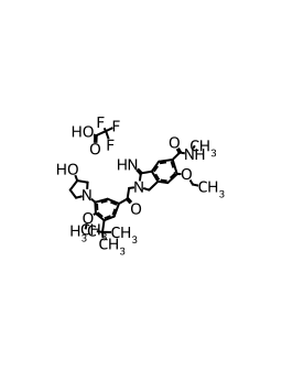 CCOc1cc2c(cc1C(=O)NC)C(=N)N(CC(=O)c1cc(N3CCC(O)C3)c(OC)c(C(C)(C)C)c1)C2.O=C(O)C(F)(F)F